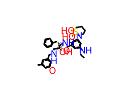 CCNc1cc(C(=O)N[C@@H](Cc2ccccc2)[C@H](O)CNCc2cc(C)cc(OC)c2)cc(N2CCCCS2(O)O)c1